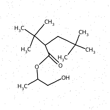 CC(CO)OC(=O)C(CC(C)(C)C)C(C)(C)C